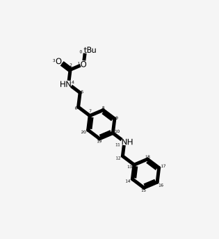 CC(C)(C)OC(=O)NCCc1ccc(NCc2ccccc2)cc1